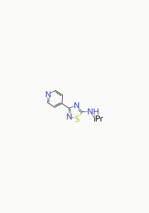 CC(C)Nc1nc(-c2ccncc2)ns1